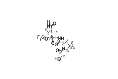 O=C1NCC[C@H]1C[C@H](NC(=O)[C@@H]1CC2(CC2)CN1C(=O)CO)C(=O)COC(F)(F)F